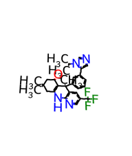 CC(C)n1cncc1-c1cccc([C@]2(C)C3=C(CC(C)(C)CC3=O)Nc3ncc(C(F)(F)F)cc32)c1